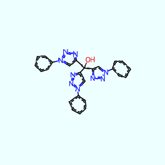 OC(c1cn(-c2ccccc2)nn1)(c1cn(-c2ccccc2)nn1)c1cn(-c2ccccc2)nn1